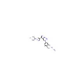 CCNC(=O)N1CCc2c(C)cc(-c3cc4c(-c5cnn(C6CCN(C)CC6)c5)c[nH]c4nn3)cc2C1